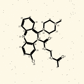 CC(=O)OCOC(=O)N1C(N2CCN(C)CC2)=c2ccccc2=Nc2ccc(Cl)cc21